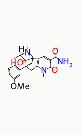 COc1ccc2c(c1)[C@]13CCN(C)[C@H](C2)[C@]1(O)Cc1cc(C(N)=O)c(=O)n(C)c1C3